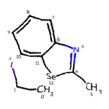 CCI.Cc1nc2ccccc2[se]1